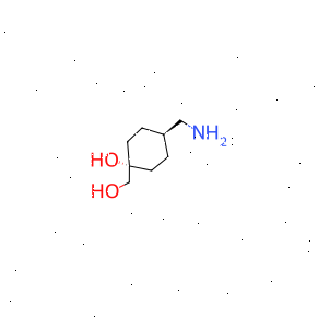 NC[C@H]1CC[C@@](O)(CO)CC1